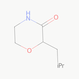 CC(C)CC1OCCNC1=O